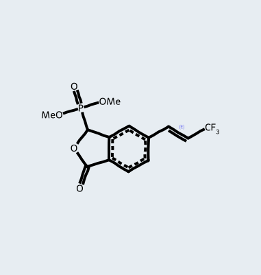 COP(=O)(OC)C1OC(=O)c2ccc(/C=C/C(F)(F)F)cc21